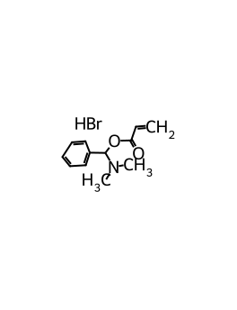 Br.C=CC(=O)OC(c1ccccc1)N(C)C